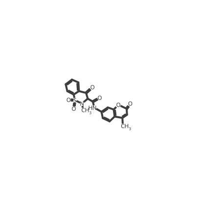 Cc1cc(=O)oc2cc(NC(=O)C3C(=O)c4ccccc4S(=O)(=O)N3C)ccc12